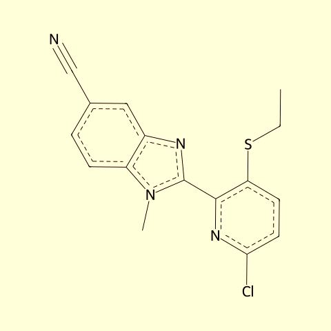 CCSc1ccc(Cl)nc1-c1nc2cc(C#N)ccc2n1C